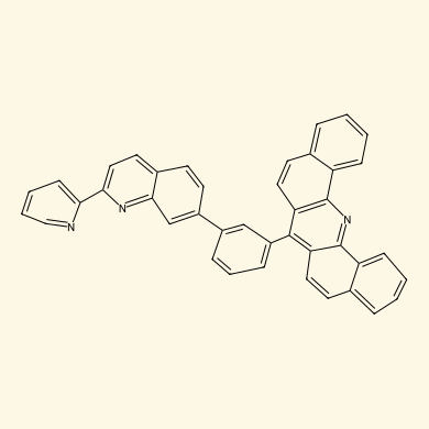 c1ccc(-c2ccc3ccc(-c4cccc(-c5c6ccc7ccccc7c6nc6c5ccc5ccccc56)c4)cc3n2)nc1